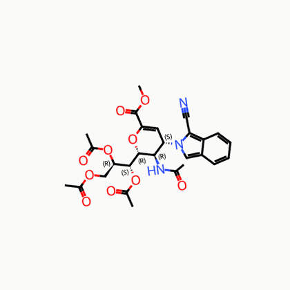 COC(=O)C1=C[C@H](n2cc3ccccc3c2C#N)[C@@H](NC(C)=O)[C@H]([C@H](OC(C)=O)[C@@H](COC(C)=O)OC(C)=O)O1